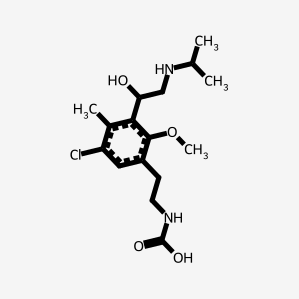 COc1c(CCNC(=O)O)cc(Cl)c(C)c1C(O)CNC(C)C